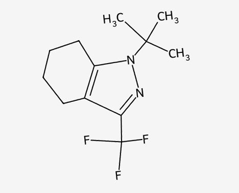 CC(C)(C)n1nc(C(F)(F)F)c2c1CCCC2